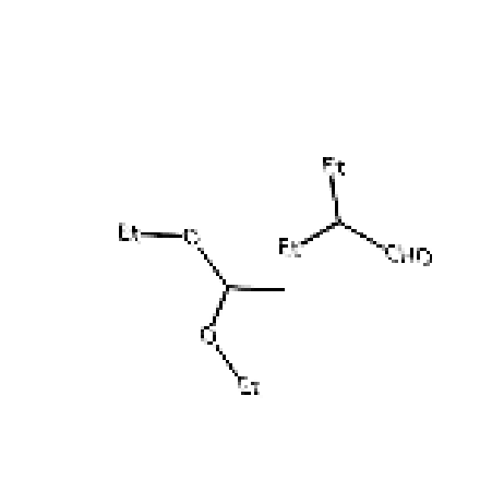 CCC(C=O)CC.CCOC(C)OCC